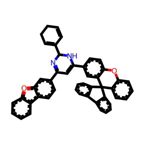 C1=CC(C2N=C(c3ccc4c(c3)oc3ccccc34)C=C(c3ccc4c(c3)C3(c5ccccc5O4)c4ccccc4-c4ccccc43)N2)=CCC1